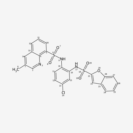 Cc1cnc2c(S(=O)(=O)Nc3ccc(Cl)cc3NS(=O)(=O)c3cc4ccccc4o3)cccc2c1